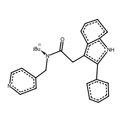 CC[C@H](C)N(Cc1ccncc1)C(=O)Cc1c(-c2ccccc2)[nH]c2ccccc12